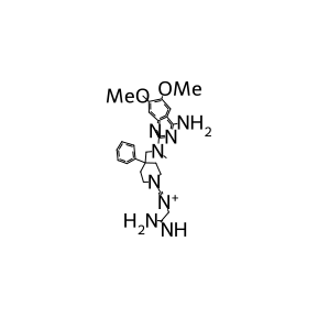 COc1cc2nc(N(C)CC3(c4ccccc4)CCN(C#[N+]CC(=N)N)CC3)nc(N)c2cc1OC